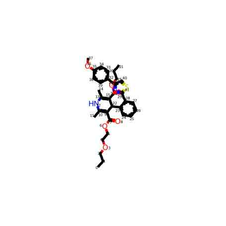 CCCOCCOC(=O)C1=C(C)NC(C)=C(C(=O)OCCC)C1c1ccccc1-c1nc(-c2ccc(OC)cc2)cs1